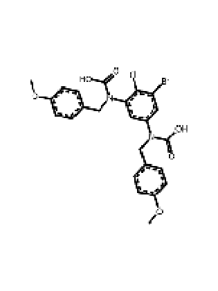 COc1ccc(CN(C(=O)O)c2cc(Br)c(Cl)c(N(Cc3ccc(OC)cc3)C(=O)O)c2)cc1